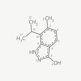 Cc1ccc2c(O)n[nH]c2c1C(C)C